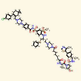 Cc1ncsc1-c1ccc([C@H](C)NC(=O)[C@@H]2C[C@@H](O)CN2C(=O)[C@@H](NC(=O)CCCCCC(=O)N2CCN(CC[C@H](CSc3ccccc3)Nc3ccc(S(=O)(=O)NC(=O)c4ccc(N5CCN(CC6=C(c7ccc(Cl)cc7)CCC7(CC7)C6)CC5)cc4)cc3S(=O)(=O)C(F)(F)F)CC2)C(C)(C)C)cc1